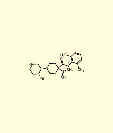 Cc1cccc(C)c1NC(=O)C1(N(C)C)CCN([C@@H]2CNCC[C@H]2O)CC1